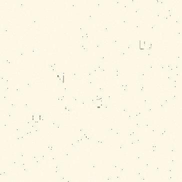 CCC(C)CCN(C)S(C)(=O)=O